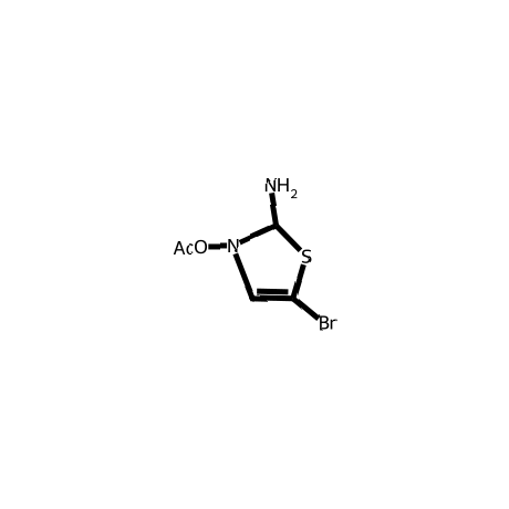 CC(=O)ON1C=C(Br)SC1N